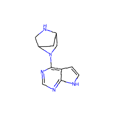 c1nc(N2CC3CC2CN3)c2cc[nH]c2n1